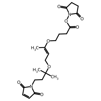 C/C(=C\COC(C)(C)CCN1C(=O)C=CC1=O)OCCCC(=O)ON1C(=O)CCC1=O